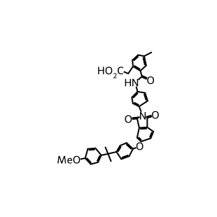 COc1ccc(C(C)(C)c2ccc(Oc3ccc4c(c3)C(=O)N(c3ccc(NC(=O)c5cc(C)ccc5CC(=O)O)cc3)C4=O)cc2)cc1